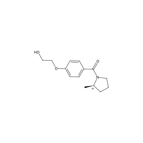 C[C@@H]1CCCN1C(=O)c1ccc(OCCO)cc1